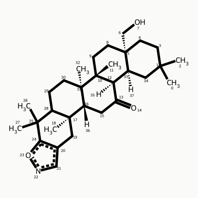 CC1(C)CC[C@]2(CO)CC[C@]3(C)[C@H](C(=O)C[C@@H]4[C@@]5(C)Cc6cnoc6C(C)(C)C5CC[C@]43C)[C@@H]2C1